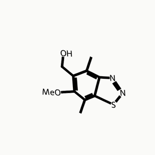 COc1c(CO)c(C)c2nnsc2c1C